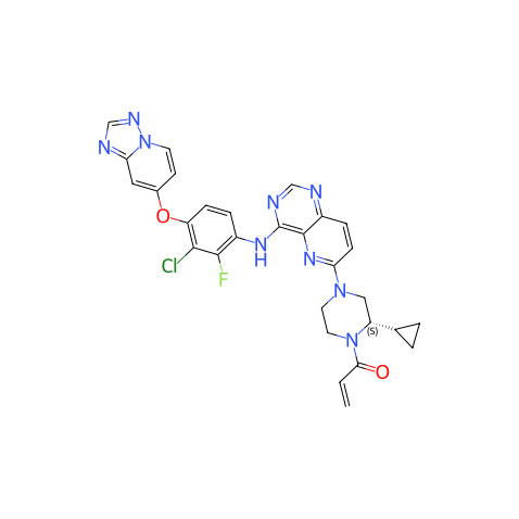 C=CC(=O)N1CCN(c2ccc3ncnc(Nc4ccc(Oc5ccn6ncnc6c5)c(Cl)c4F)c3n2)C[C@@H]1C1CC1